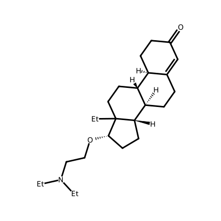 CCN(CC)CCO[C@H]1CC[C@H]2[C@@H]3CCC4=CC(=O)CC[C@@H]4[C@H]3CCC12CC